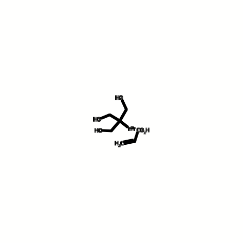 C=CC(=O)O.CCCC(CO)(CO)CO